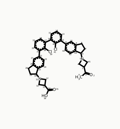 CC(=O)C1CN(C2CCc3cc(-c4cccc(-c5cccc(-c6ccc7c(c6)CCC7N6CC(C(=O)O)C6)c5Cl)c4Cl)ccc32)C1